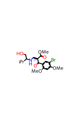 COC(=O)/C(=C/NC(CO)C(C)C)C(=O)c1cc(Br)c(OC)cc1OC